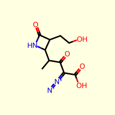 CC(C(=O)C(=[N+]=[N-])C(=O)O)C1NC(=O)C1CCO